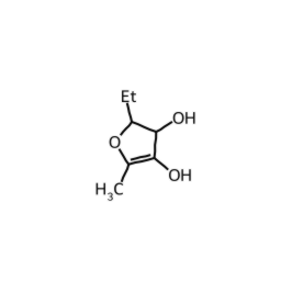 CCC1OC(C)=C(O)C1O